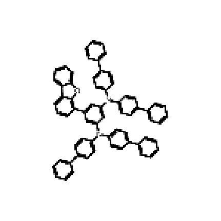 c1ccc(-c2ccc(N(c3ccc(-c4ccccc4)cc3)c3cc(-c4cccc5c4oc4ccccc45)cc(N(c4ccc(-c5ccccc5)cc4)c4ccc(-c5ccccc5)cc4)c3)cc2)cc1